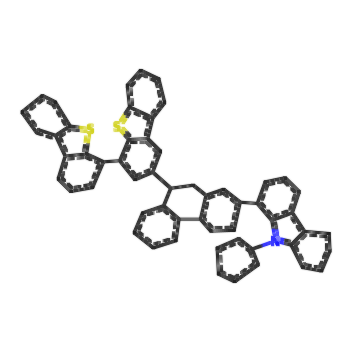 c1ccc(-n2c3ccccc3c3cccc(-c4ccc5c(c4)CC(c4cc(-c6cccc7c6sc6ccccc67)c6sc7ccccc7c6c4)c4ccccc4-5)c32)cc1